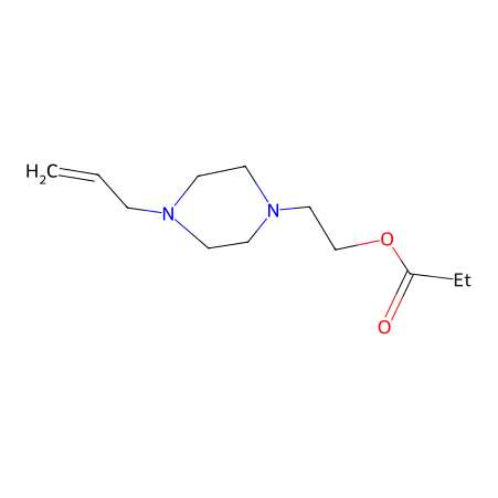 C=CCN1CCN(CCOC(=O)CC)CC1